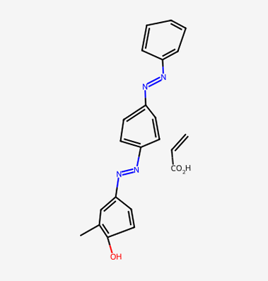 C=CC(=O)O.Cc1cc(/N=N/c2ccc(/N=N/c3ccccc3)cc2)ccc1O